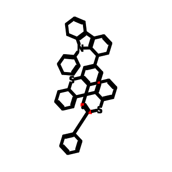 C1=CCC2Sc3cc(C4CC=Cc5c6c(n(C7=CCCC=C7)c54)CCC=C6)ccc3C3(C2=C1)C1=C(CC(c2ccccc2)C=C1)Sc1ccccc13